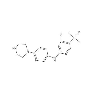 FC(F)(F)c1cnc(Nc2ccc(N3CCNCC3)nc2)nc1Cl